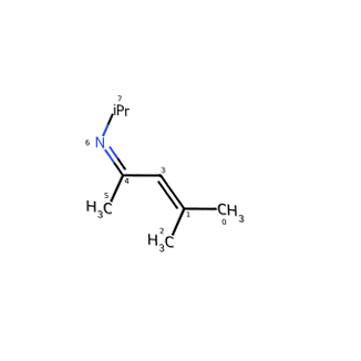 CC(C)=C/C(C)=N\C(C)C